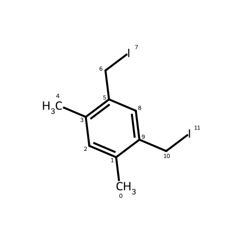 Cc1cc(C)c(CI)cc1CI